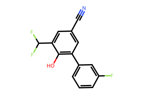 N#Cc1cc(-c2cccc(F)c2)c(O)c(C(F)F)c1